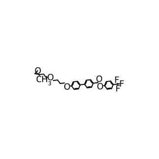 CC1(CCOCCCCOc2ccc(-c3ccc(C(=O)Oc4ccc(C(F)(F)F)cc4)cc3)cc2)CO1